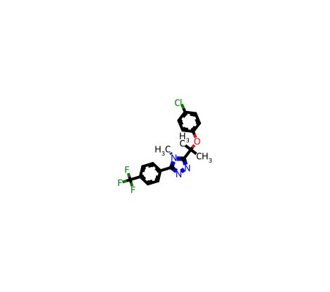 Cn1c(-c2ccc(C(F)(F)F)cc2)nnc1C(C)(C)Oc1ccc(Cl)cc1